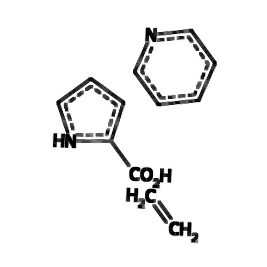 C=C.O=C(O)c1ccc[nH]1.c1ccncc1